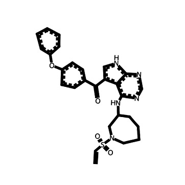 C=CS(=O)(=O)N1CCCCC(Nc2ncnc3[nH]cc(C(=O)c4ccc(Oc5ccccc5)cc4)c23)C1